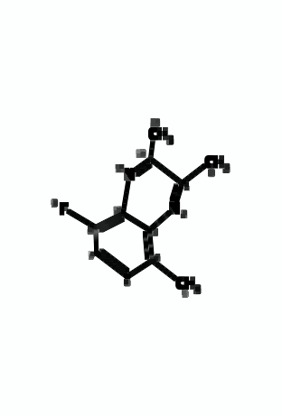 Cc1nc2c(C)ccc(F)c2nc1C